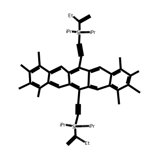 C=C(CC)[Si](C#Cc1c2cc3c(C)c(C)c(C)c(C)c3cc2c(C#C[Si](C(=C)CC)(C(C)C)C(C)C)c2cc3c(C)c(C)c(C)c(C)c3cc12)(C(C)C)C(C)C